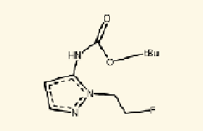 CC(C)(C)OC(=O)Nc1ccnn1CCF